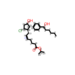 CCCCC[C@@H](O)c1ccc([C@@H]2[C@@H](C/C=C\CCCC(=O)OC(C)C)[C@H](Cl)C[C@H]2O)cc1